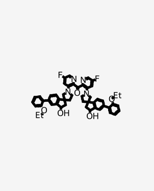 CCOc1ccccc1-c1ccc2c(c1)C(O)CC21CCN(c2cc(F)cnc2C(=O)c2ncc(F)cc2N2CCC3(CC(O)c4cc(-c5ccccc5OCC)ccc43)C2)C1